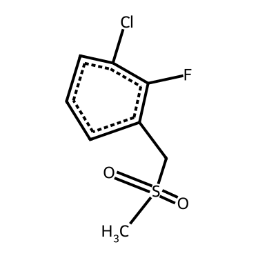 CS(=O)(=O)Cc1cccc(Cl)c1F